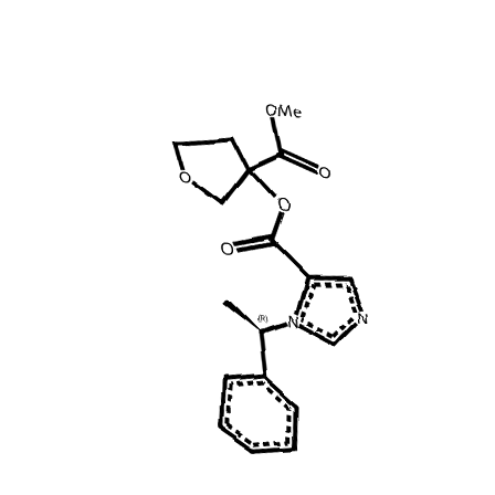 COC(=O)C1(OC(=O)c2cncn2[C@H](C)c2ccccc2)CCOC1